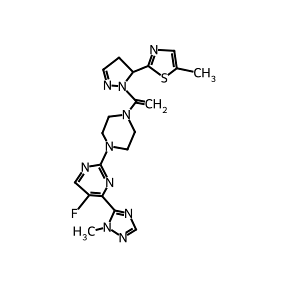 C=C(N1CCN(c2ncc(F)c(-c3ncnn3C)n2)CC1)N1N=CCC1c1ncc(C)s1